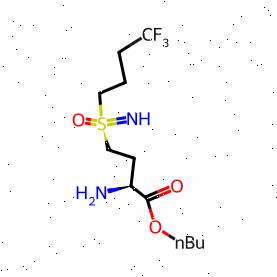 CCCCOC(=O)[C@@H](N)CC[S@@](=N)(=O)CCCC(F)(F)F